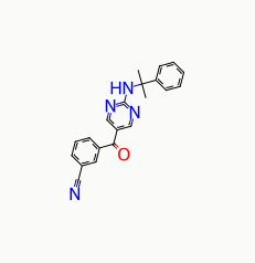 CC(C)(Nc1ncc(C(=O)c2cccc(C#N)c2)cn1)c1ccccc1